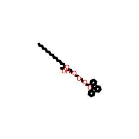 CCCCCCCCCCCCCCCC(OCCCOCCOCCOCCOC(c1ccccc1)(c1ccccc1)c1ccccc1)C(C)O